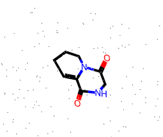 O=C1NCC(=O)N2CCCC=C12